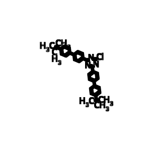 CC(C)(C)c1ccc(-c2ccc(-c3nc(Cl)nc(-c4ccc(-c5ccc(C(C)(C)C)cc5)cc4)n3)cc2)cc1